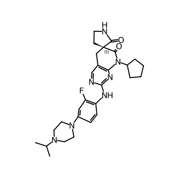 CC(C)N1CCN(c2ccc(Nc3ncc4c(n3)N(C3CCCC3)C(=O)[C@]3(CCNC3=O)C4)c(F)c2)CC1